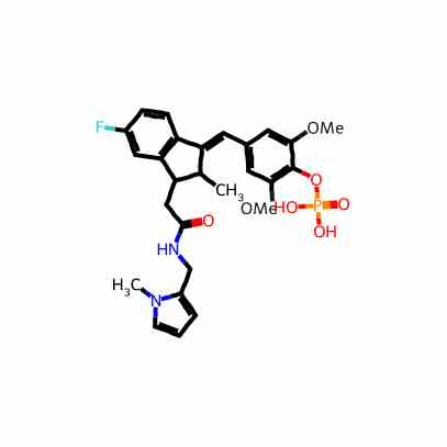 COc1cc(C=C2c3ccc(F)cc3C(CC(=O)NCc3cccn3C)C2C)cc(OC)c1OP(=O)(O)O